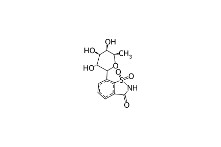 C[C@H]1OC(c2cccc3c2S(=O)(=O)NC3=O)[C@H](O)[C@@H](O)[C@H]1O